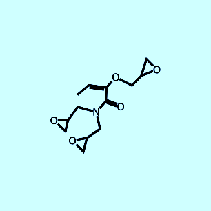 CC=C(OCC1CO1)C(=O)N(CC1CO1)CC1CO1